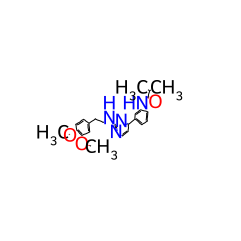 COc1ccc(CCNc2nccc(-c3cccc(NC(=O)C(C)C)c3)n2)cc1OC